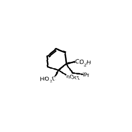 CCCCCCCCC1(C(=O)O)CC=CCC1(CC(C)C)C(=O)O